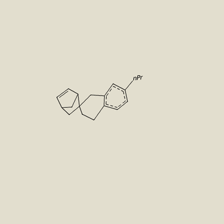 CCCc1ccc2c(c1)CC1(CC2)CC2C=CC1C2